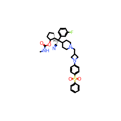 CNC(=O)OC1CCC[C@@H]1[C@@](C#N)(c1cccc(F)c1)C1CCN(CC2CN(c3ccc(S(=O)(=O)c4ccccc4)cc3)C2)CC1